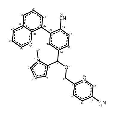 Cn1cncc1C(OCc1ccc(C#N)cn1)c1ccc(C#N)c(-c2cccc3cccnc23)c1